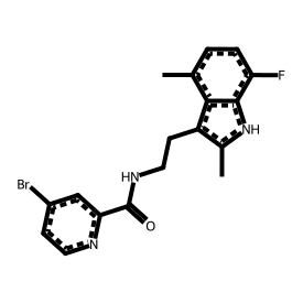 Cc1[nH]c2c(F)ccc(C)c2c1CCNC(=O)c1cc(Br)ccn1